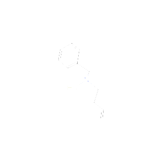 C=CCCN(S)Cc1ccccc1